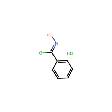 Cl.ON=C(Cl)c1ccccc1